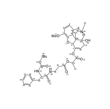 COc1ccc2c3c1OC1C(OC(=O)C(C)OC(=O)CCNC(=O)C(Cc4ccccc4)NC(=O)OC(C)(C)C)=CCC4(O)C(C2)N(C)CCC314